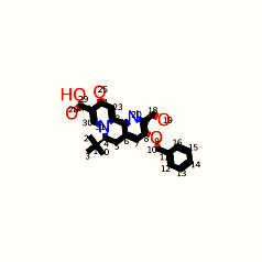 CC(C)(C)[C@@H]1Cc2cc(OCc3ccccc3)c(C=O)nc2-c2cc(=O)c(C(=O)O)cn21